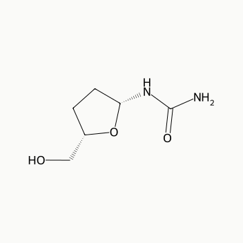 NC(=O)N[C@H]1CC[C@@H](CO)O1